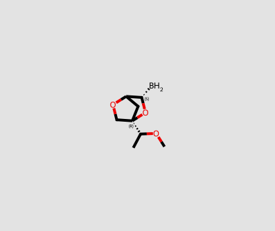 B[C@@H]1O[C@@]2(C(C)OC)COC1C2